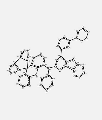 C1=CCCC(c2cccc(-c3cc(N(c4ccccc4)c4cccc5c4Oc4ccccc4C54c5ccccc5-c5ccccc54)cc4c3sc3ccccc34)c2)=C1